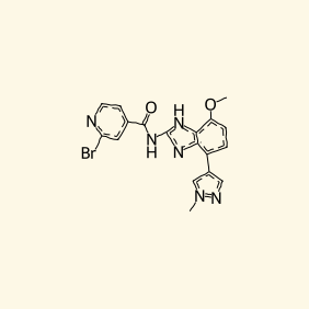 COc1ccc(-c2cnn(C)c2)c2nc(NC(=O)c3ccnc(Br)c3)[nH]c12